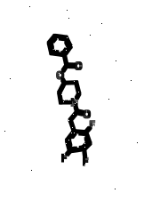 O=C(OC1CCN(C(=O)Cc2cc(F)c(F)cc2F)CC1)c1ccccc1